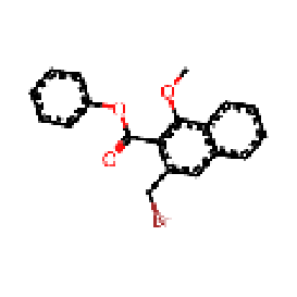 COc1c(C(=O)Oc2ccccc2)c(CBr)cc2ccccc12